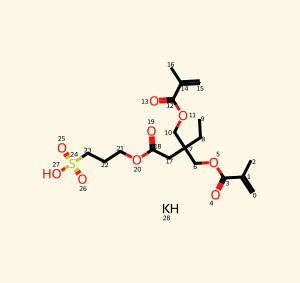 C=C(C)C(=O)OCC(CC)(COC(=O)C(=C)C)CC(=O)OCCCS(=O)(=O)O.[KH]